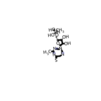 CC1=N/C(=S)C/N=C\N([C@@H]2O[C@H](CO[PH](C)(O)O)[C@H](O)C2O)\C=N\1